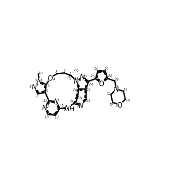 C[C@H]1CCOc2c(cnn2C)-c2nccc(n2)Nc2cc3c(cn2)c(-c2ccc(CN4CCOCC4)o2)nn31